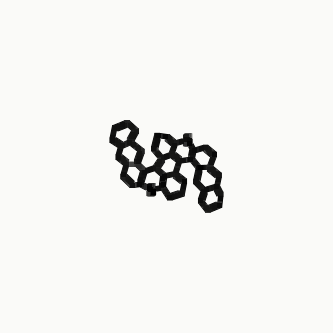 c1ccc2cc3c(ccc4sc5cccc6c5c(c5cccc7sc8ccc9cc%10ccccc%10cc9c8c6c75)c43)cc2c1